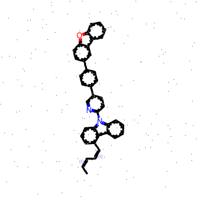 C/C=C\C=C/c1cccc2c1c1ccccc1n2-c1ccc(-c2ccc(-c3ccc4oc5ccccc5c4c3)cc2)cn1